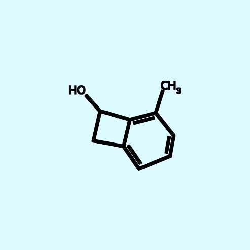 Cc1cccc2c1C(O)C2